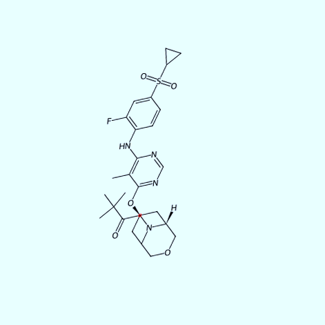 Cc1c(Nc2ccc(S(=O)(=O)C3CC3)cc2F)ncnc1O[C@@H]1CC2COC[C@@H](C1)N2CC(=O)C(C)(C)C